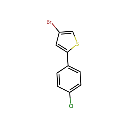 Clc1ccc(-c2cc(Br)cs2)cc1